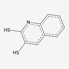 Sc1cc2ccccc2nc1S